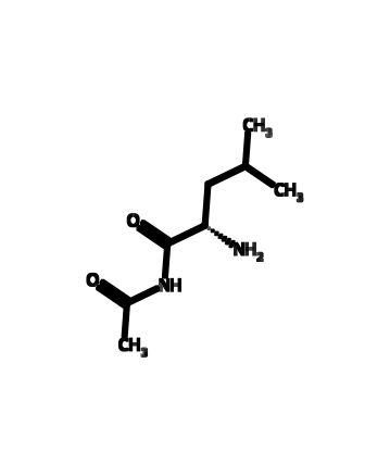 CC(=O)NC(=O)[C@@H](N)CC(C)C